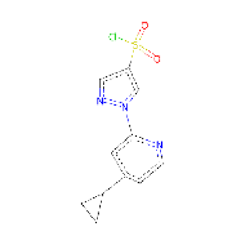 O=S(=O)(Cl)c1cnn(-c2cc(C3CC3)ccn2)c1